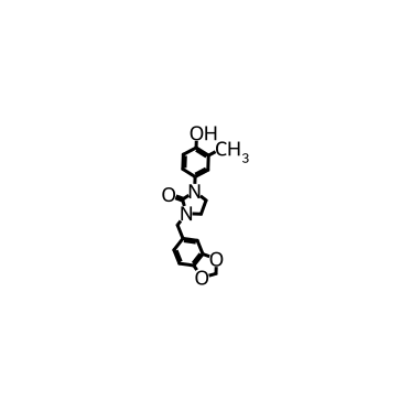 Cc1cc(N2CCN(Cc3ccc4c(c3)OCO4)C2=O)ccc1O